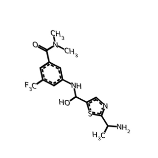 CC(N)c1ncc(C(O)Nc2cc(C(=O)N(C)C)cc(C(F)(F)F)c2)s1